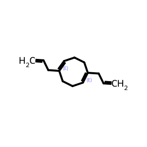 C=CC/C1=C/CC/C(CC=C)=C\CC1